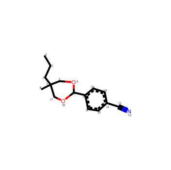 CCCC1(C)COC(c2ccc(C#N)cc2)OC1